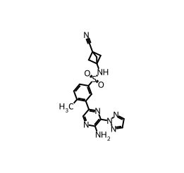 Cc1ccc(S(=O)(=O)NC23CC(C#N)(C2)C3)cc1-c1cnc(N)c(-n2nccn2)n1